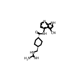 N#Cc1c[nH]c2nccc(NC(=O)[C@H]3CC[C@H](CNC(=N)N)CC3)c12